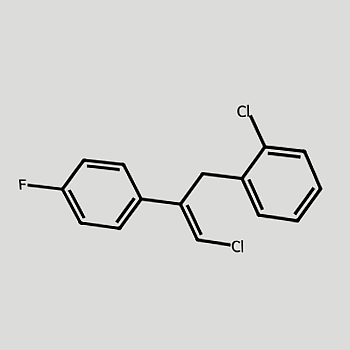 Fc1ccc(/C(=C/Cl)Cc2ccccc2Cl)cc1